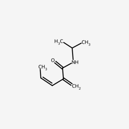 C=C(/C=C\C)C(=O)NC(C)C